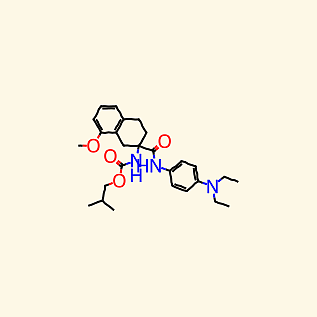 CCN(CC)c1ccc(NC(=O)C2(NC(=O)OCC(C)C)CCc3cccc(OC)c3C2)cc1